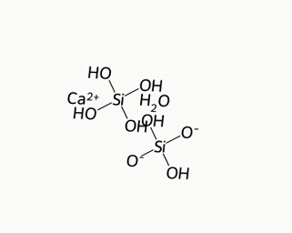 O.O[Si](O)(O)O.[Ca+2].[O-][Si]([O-])(O)O